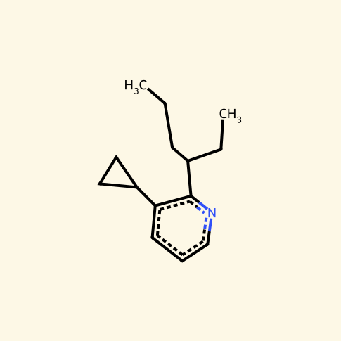 CCCC(CC)c1ncccc1C1CC1